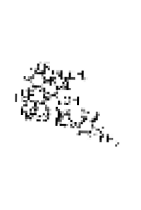 C=Cc1ccc(-c2cnn(C3C(O)[C@H](c4nc(C)nn4-c4cc(Cl)ccc4C(F)(F)F)OC(C(C)O)[C@@H]3OC)c2)c(F)c1F